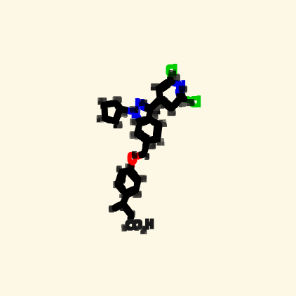 CC(CC(=O)O)c1ccc(OCc2ccc3c(-c4cc(Cl)nc(Cl)c4)nn(C4CCCC4)c3c2)cc1